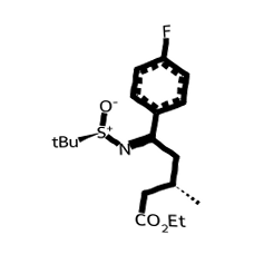 CCOC(=O)C[C@@H](C)C/C(=N/[S@+]([O-])C(C)(C)C)c1ccc(F)cc1